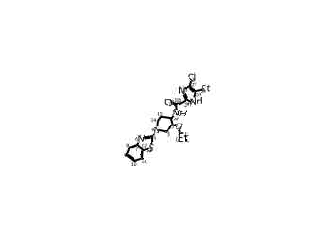 CCOC1CN(c2nc3ccccc3s2)CCC1NC(=O)c1nc(Cl)c(CC)[nH]1